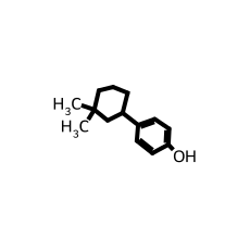 CC1(C)CCCC(c2ccc(O)cc2)C1